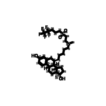 CN(CCCCC[C@@H]1Cc2cc(O)ccc2[C@H]2CC[C@]3(C)[C@@H](O)CC[C@H]3[C@H]12)CCS(=O)(=O)CCCC(F)(F)C(F)(F)F